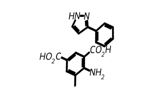 Cc1cc(C(=O)O)cc(C(=O)O)c1N.c1ccc(-c2cc[nH]n2)cc1